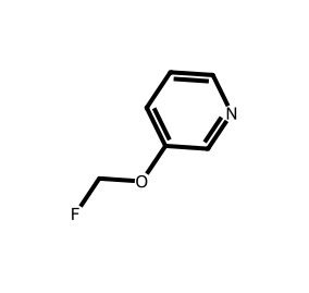 FCOc1cccnc1